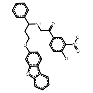 O=C(CNC(CCOc1ccc2c(c1)sc1ccccc12)c1ccccc1)c1ccc(Cl)c([N+](=O)[O-])c1